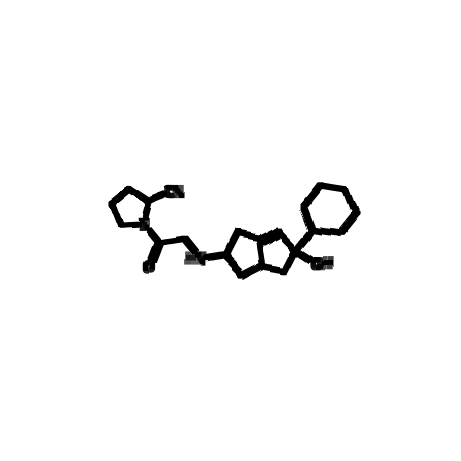 N#CC1CCCN1C(=O)CNC1CC2=CC(O)(C3CCCCC3)CC2C1